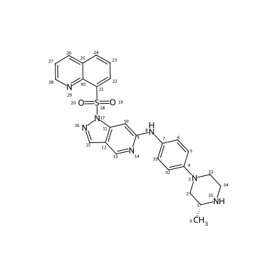 C[C@@H]1CN(c2ccc(Nc3cc4c(cn3)cnn4S(=O)(=O)c3cccc4cccnc34)cc2)CCN1